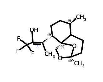 C/C(=C(/O)C(F)(F)F)[C@@H]1CC[C@@H](C)C2CC[C@@]3(C)OC[C@@]21O3